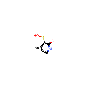 O=c1[nH]cccc1SO.[Na]